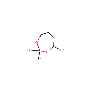 CCC1[CH]CCOC(CC)(C(C)C)O1